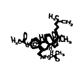 CC(=O)O.CC(=O)O[C@H]1CC[C@@]2(C)C(=C(CN)C[C@H]3[C@@H]4CC[C@H]([C@H](C)CCCC(C)C)[C@@]4(C)CC[C@@H]32)C1